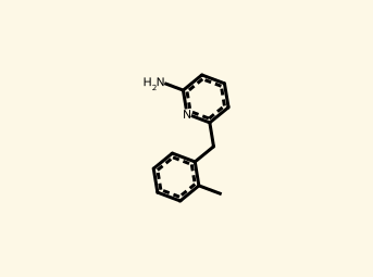 Cc1ccccc1Cc1cccc(N)n1